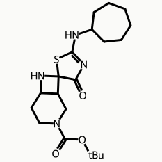 CC(C)(C)OC(=O)N1CCC2NC3(SC(NC4CCCCCC4)=NC3=O)C2C1